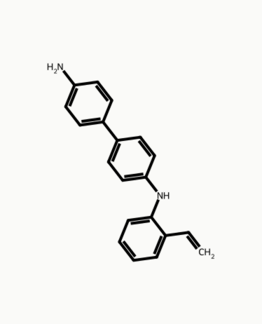 C=Cc1ccccc1Nc1ccc(-c2ccc(N)cc2)cc1